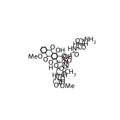 COc1cccc2c1C(=O)c1c(O)c3c(c(O)c1C2=O)C[C@@](O)(C(=O)N1C2CC1CN(C(=O)CCC(=O)N[C@H]1CO[C@H]4[C@@H]1OC[C@@H]4N)C2)C[C@@H]3O[C@H]1C[C@H]2[C@H](O[C@@H]3[C@@H](OC)OCCN32)[C@H](C)O1